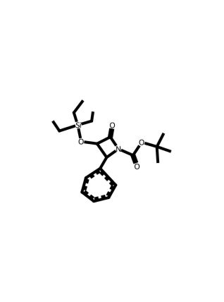 CC[Si](CC)(CC)OC1C(=O)N(C(=O)OC(C)(C)C)C1c1ccccc1